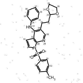 Cc1ccc(S(=O)(=O)n2ccc3c(Nc4ccccc4)c(CCC4OCCO4)cnc32)cc1